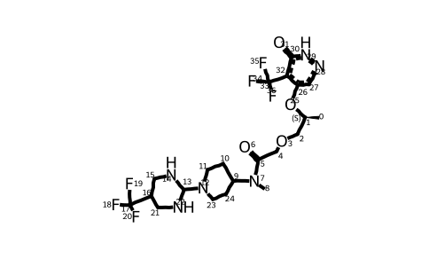 C[C@@H](COCC(=O)N(C)C1CCN(C2NCC(C(F)(F)F)CN2)CC1)Oc1cn[nH]c(=O)c1C(F)(F)F